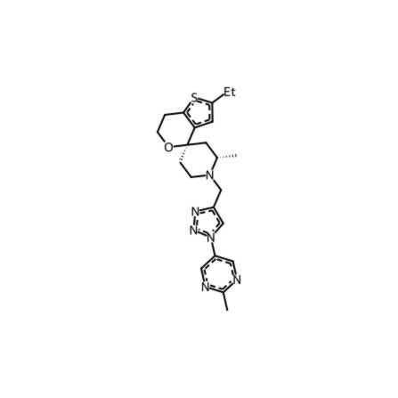 CCc1cc2c(s1)CCO[C@@]21CCN(Cc2cn(-c3cnc(C)nc3)nn2)[C@@H](C)C1